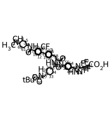 CN(C)C1CCC(NC(=O)c2ccc(-c3ccc(CC(NC(=O)[C@H]4CC[C@H](CNC(=O)OC(C)(C)C)CC4)C(=O)Nc4ccc(-c5nc(C(F)(F)C(F)(F)C(=O)O)n[nH]5)cc4)cc3)c(C(F)(F)F)c2)CC1